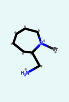 CC(C)N1CCCCCC1CN